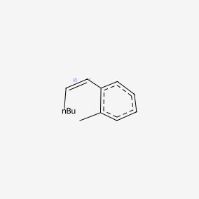 CCCC/C=[C]\c1ccccc1C